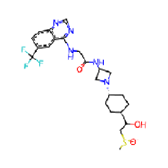 C[S+]([O-])CC(O)[C@H]1CC[C@H](N2CC(NC(=O)CNc3ncnc4ccc(C(F)(F)F)cc34)C2)CC1